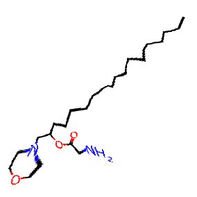 CCCCCCCCCCCCCCCC(CN1CCOCC1)OC(=O)CN